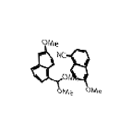 COc1ccc2c(C#N)cccc2c1.COc1ccc2c(C(OC)OC)cccc2c1